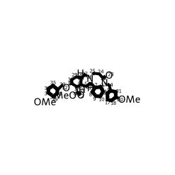 COC(=O)[C@@H]1[C@H]2C[C@H]3c4ccccc4N(Cc4cccc(OC)c4)C(=O)CCN3C[C@@H]2CC[C@@H]1OCc1cccc(OC)c1